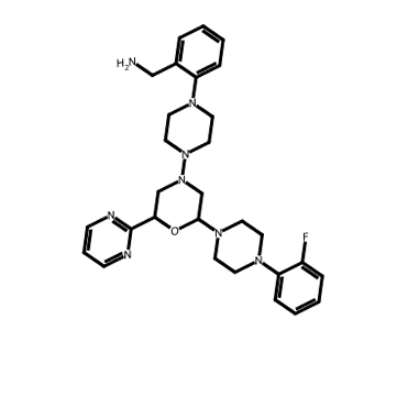 NCc1ccccc1N1CCN(N2CC(c3ncccn3)OC(N3CCN(c4ccccc4F)CC3)C2)CC1